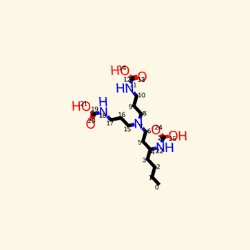 CCCCC(CCN(CCCNC(=O)O)CCCNC(=O)O)NC(=O)O